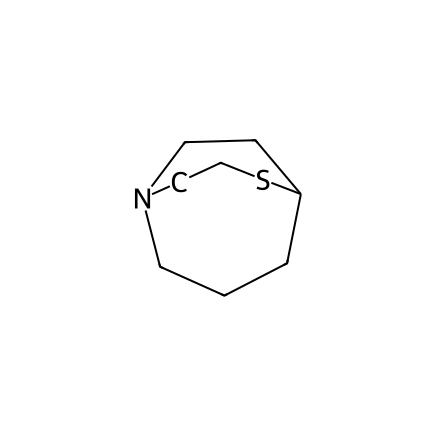 C1CC2CCN(C1)CCS2